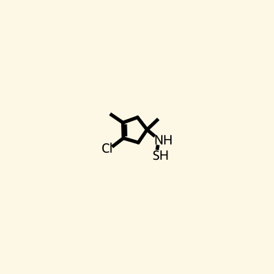 CC1=C(Cl)CC(C)(NS)C1